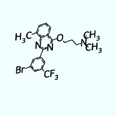 Cc1cccc2c(OCCCN(C)C)nc(-c3cc(Br)cc(C(F)(F)F)c3)nc12